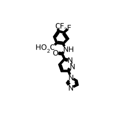 O=C(Nc1cc(F)c(C(F)(F)F)cc1C(=O)O)c1ccc(-n2ccnc2)nn1